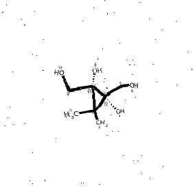 CC1(C)[C@](O)(CO)[C@]1(O)CO